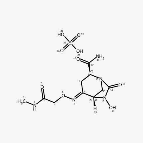 CNC(=O)CON=C1C[C@@H](C(N)=O)N2C[C@@H]1N(O)C2=O.O=S(=O)(O)O